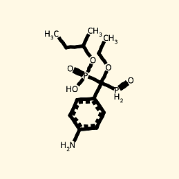 CCOC([PH2]=O)(c1ccc(N)cc1)P(=O)(O)OC(C)CC